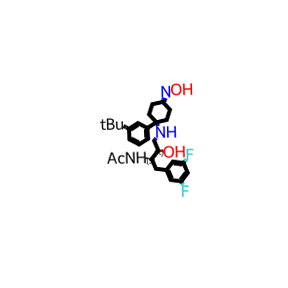 CC(=O)N[C@@H](Cc1cc(F)cc(F)c1)[C@H](O)CNC1(c2cccc(C(C)(C)C)c2)CCC(=NO)CC1